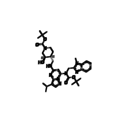 CC(C)c1cnn2c(N(Cc3nc4ccccc4n3C)C(=O)OC(C)(C)C)cc(NC[C@H]3CCN(C(=O)OC(C)(C)C)C[C@@H]3O)nc12